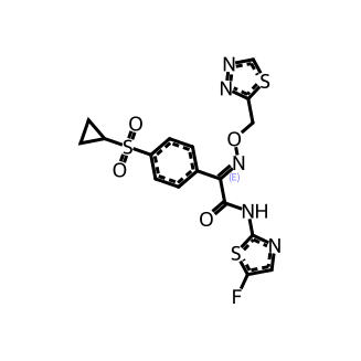 O=C(Nc1ncc(F)s1)/C(=N/OCc1nncs1)c1ccc(S(=O)(=O)C2CC2)cc1